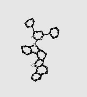 c1ccc(-c2cc(-c3ccccc3)nc(-n3c4ccccc4c4c5oc6c7ccccc7ccc6c5ccc43)n2)cc1